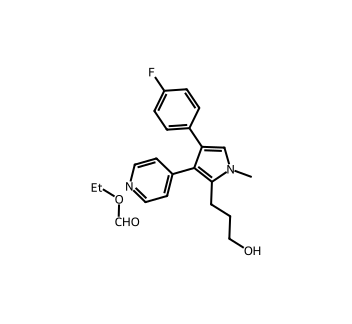 CCOC=O.Cn1cc(-c2ccc(F)cc2)c(-c2ccncc2)c1CCCO